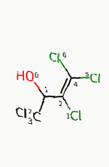 OC(C(Cl)=C(Cl)Cl)C(Cl)(Cl)Cl